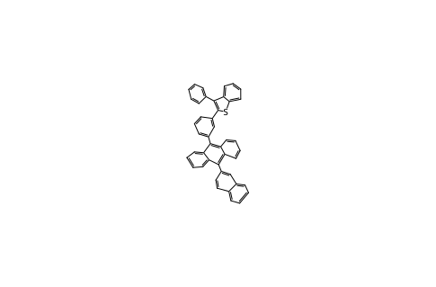 c1ccc(-c2c(-c3cccc(-c4c5ccccc5c(-c5ccc6ccccc6c5)c5ccccc45)c3)sc3ccccc23)cc1